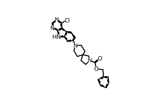 O=C(OCc1ccccc1)N1CCC2(CCN(c3ccc4c(c3)[nH]c3ncnc(Cl)c34)CC2)C1